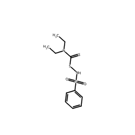 CCN(CC)C(=S)SNS(=O)(=O)c1ccccc1